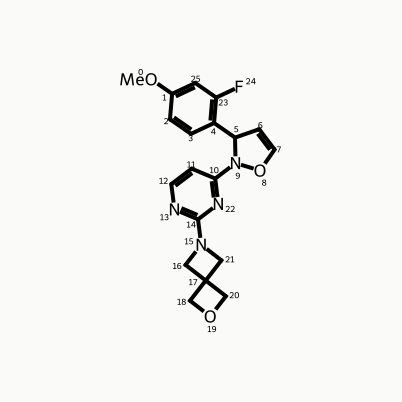 COc1ccc(C2C=CON2c2ccnc(N3CC4(COC4)C3)n2)c(F)c1